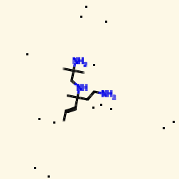 CC=CC(C)(CCN)NCC(C)(C)N